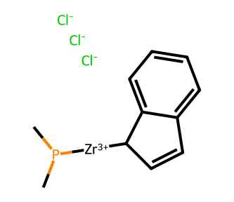 C[P](C)[Zr+3][CH]1C=Cc2ccccc21.[Cl-].[Cl-].[Cl-]